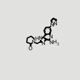 Nc1nc2cc(-n3cccn3)ccc2c2[nH]c(CN3CCCCC3=O)nc12